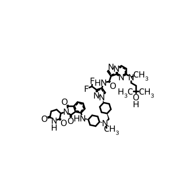 CN(CCC(C)(C)O)c1ccn2ncc(C(=O)Nc3cn([C@H]4CC[C@H](CN(C)[C@H]5CC[C@H](Nc6cccc7c6C(=O)N(C6CCC(=O)NC6=O)C7=O)CC5)CC4)nc3C(F)F)c2n1